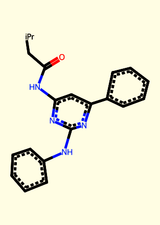 CC(C)CC(=O)Nc1cc(-c2ccccc2)nc(Nc2ccccc2)n1